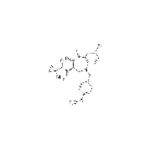 CN1C(=O)[C@H](NC(=O)C2(N)CC2)CN(Cc2ccc(OC(F)(F)F)cc2)c2ccc(Cl)cc21